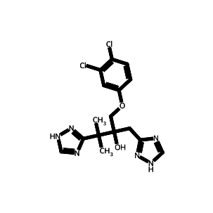 CC(C)(c1nc[nH]n1)C(O)(COc1ccc(Cl)c(Cl)c1)Cc1nc[nH]n1